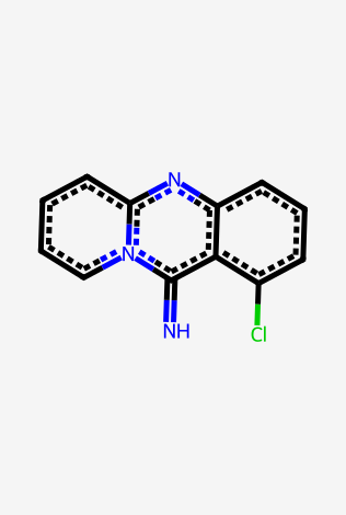 N=c1c2c(Cl)cccc2nc2ccccn12